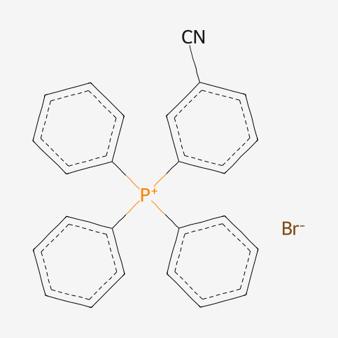 N#Cc1cccc([P+](c2ccccc2)(c2ccccc2)c2ccccc2)c1.[Br-]